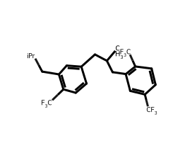 CC(C)Cc1cc(CC(C)Cc2cc(C(F)(F)F)ccc2C(F)(F)F)ccc1C(F)(F)F